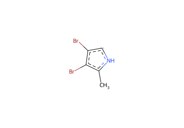 Cc1[nH][c]c(Br)c1Br